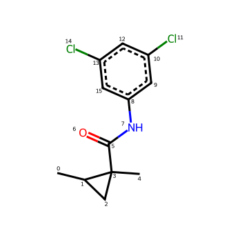 CC1CC1(C)C(=O)Nc1cc(Cl)cc(Cl)c1